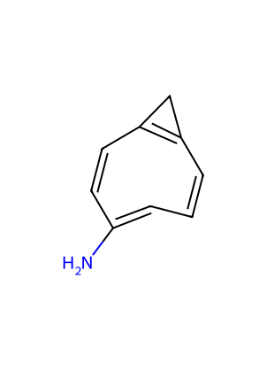 NC1=C\C=C/C2=C(/C=C\1)C2